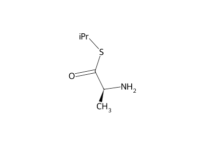 CC(C)SC(=O)[C@H](C)N